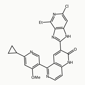 CCc1nc(Cl)cc2[nH]c(-c3cc4c(-c5cnc(C6CC6)cc5OC)nccc4[nH]c3=O)nc12